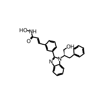 O=C(/C=C/c1cccc(-c2nc3ccccc3n2[C@@H](CO)Cc2ccccc2)c1)NO